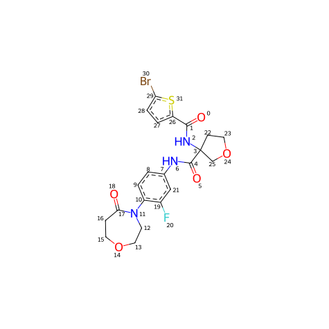 O=C(NC1(C(=O)Nc2ccc(N3CCOCCC3=O)c(F)c2)CCOC1)c1ccc(Br)s1